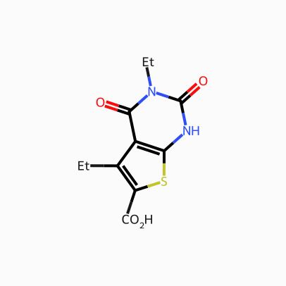 CCc1c(C(=O)O)sc2[nH]c(=O)n(CC)c(=O)c12